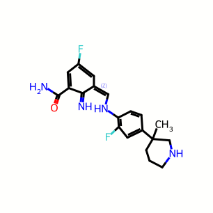 CC1(c2ccc(N/C=C3/C=C(F)C=C(C(N)=O)C3=N)c(F)c2)CCCNC1